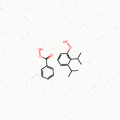 CC(C)c1cccc(OO)c1C(C)C.O=C(OO)c1ccccc1